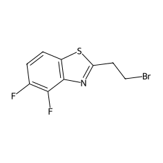 Fc1ccc2sc(CCBr)nc2c1F